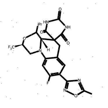 Cc1nc(-c2cc3c(cc2F)N2C[C@@H](C(F)(F)F)OC(C(C)C)[C@@H]2C2(C3)C(=O)NC(=O)NC2=O)no1